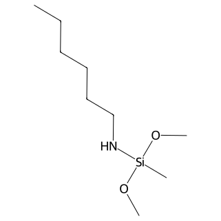 CCCCCCN[Si](C)(OC)OC